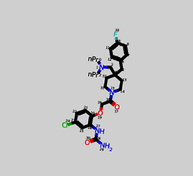 CCCN(CCC)CC1(Cc2ccc(F)cc2)CCN(C(=O)COc2ccc(Cl)cc2NC(N)=O)CC1